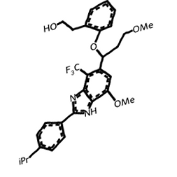 COCCC(Oc1ccccc1CCO)c1cc(OC)c2[nH]c(-c3ccc(C(C)C)cc3)nc2c1C(F)(F)F